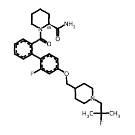 CC(C)(F)CN1CCC(COc2ccc(-c3ccccc3C(=O)N3CCCC[C@H]3C(N)=O)c(F)c2)CC1